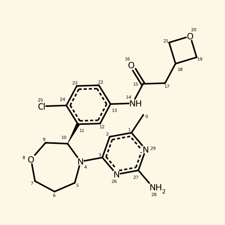 Cc1cc(N2CCCOC[C@H]2c2cc(NC(=O)CC3COC3)ccc2Cl)nc(N)n1